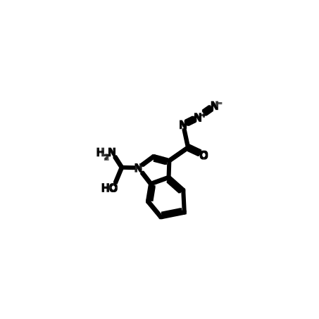 [N-]=[N+]=NC(=O)c1cn(C(N)O)c2ccccc12